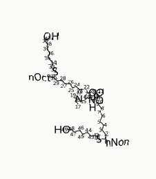 CCCCCCCCCC(CCCCCCCCOP(=O)(NCC[N+](C)(C)C)OCCCCCCCCCC(CCCCCCCC)SCCCCCCCO)SCCCCCCCO